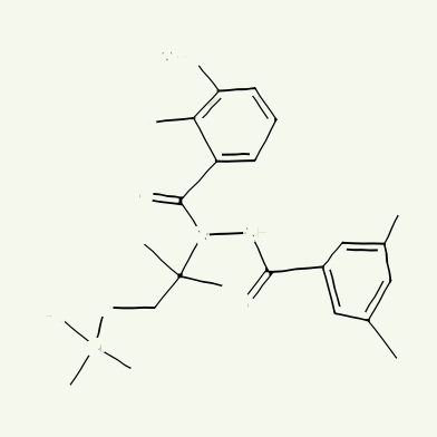 CCc1c(OC)cccc1C(=O)N(NC(=O)c1cc(C)cc(C)c1)C(C)(C)CO[Si](C)(C)C(C)(C)C